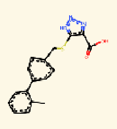 Cc1ccccc1-c1ccc(CSc2[nH]nnc2C(=O)O)cc1